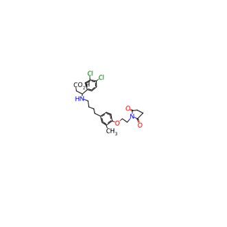 Cc1cc(CCCCNC(CC(=O)O)c2ccc(Cl)c(Cl)c2)ccc1OCCN1C(=O)CCC1=O